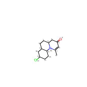 CC1=CC(=O)CC2CCC3CC(Cl)CCC3N12